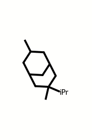 CC1CC2CC(C1)CC(C)(C(C)C)C2